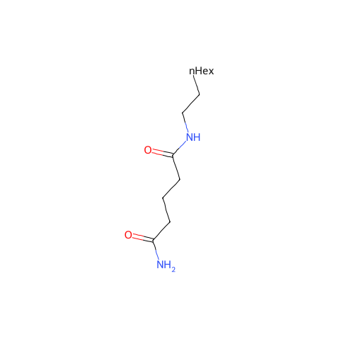 CCCCCCCCNC(=O)CCCC(N)=O